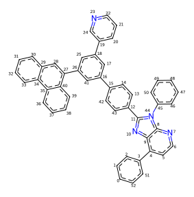 c1ccc(-c2ccnc3c2nc(-c2ccc(-c4cc(-c5cccnc5)cc(-c5cc6ccccc6c6ccccc56)c4)cc2)n3-c2ccccc2)cc1